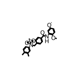 COc1ccc(OC)c(NC(=O)c2ccc(CN(c3ccc(C)c(C)c3)S(C)(=O)=O)cc2)c1